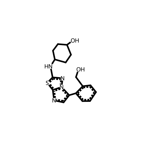 OCc1ccccc1-c1cnc2sc(NC3CCC(O)CC3)nn12